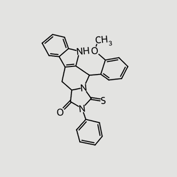 COc1ccccc1C1c2[nH]c3ccccc3c2CC2C(=O)N(c3ccccc3)C(=S)N21